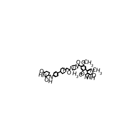 COc1cc(-c2cn(C)c(=O)c3[nH]ncc23)c(OC)cc1C(=O)N1CCN(C(=O)CN2CCC(c3ccc(NC4CCC(=O)NC4=O)cc3)CC2)CC1